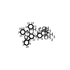 CC1(C)c2ccc(-c3cc(N(c4ccccc4)c4ccccc4)c4oc5ccccc5c4c3)cc2C(C)(C)C1(F)F